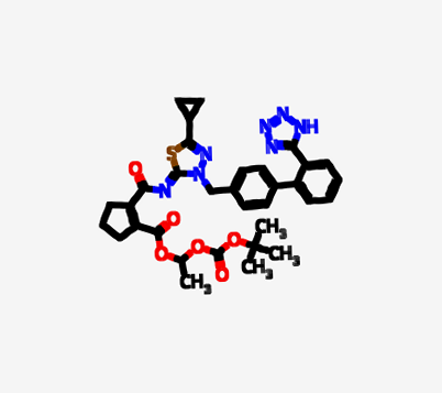 CC(OC(=O)OC(C)(C)C)OC(=O)C1=C(C(=O)N=c2sc(C3CC3)nn2Cc2ccc(-c3ccccc3-c3nnn[nH]3)cc2)CCC1